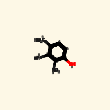 CCCc1c(C(=O)O)ccc(O)c1[N+](=O)[O-]